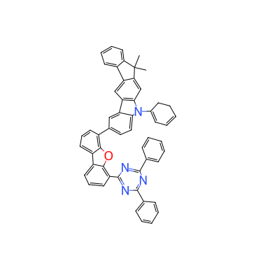 CC1(C)c2ccccc2-c2cc3c4cc(-c5cccc6c5oc5c(-c7nc(-c8ccccc8)nc(-c8ccccc8)n7)cccc56)ccc4n(C4=CC=CCC4)c3cc21